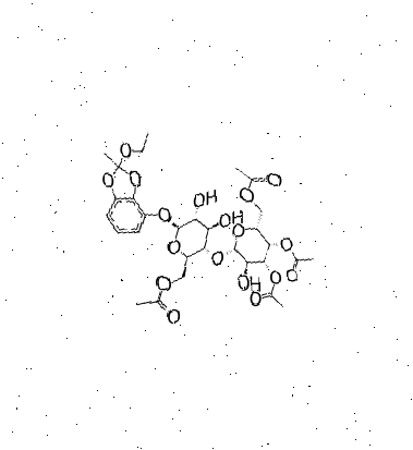 CCOC1(C)Oc2cccc(O[C@@H]3O[C@H](COC(C)=O)[C@@H](O[C@@H]4O[C@H](COC(C)=O)[C@H](OC(C)=O)[C@H](OC(C)=O)[C@H]4O)[C@H](O)[C@H]3O)c2O1